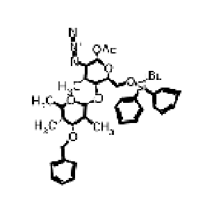 CC(=O)O[C@@H]1OC(CO[Si](c2ccccc2)(c2ccccc2)C(C)(C)C)[C@@H](O[C@@H]2OC(C)[C@@H](C)[C@@H](OCc3ccccc3)C2C)[C@H](C)C1N=[N+]=[N-]